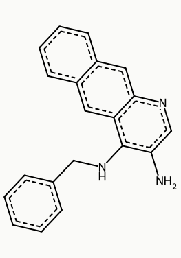 Nc1cnc2cc3ccccc3cc2c1NCc1ccccc1